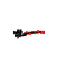 CC(C)CCCC(C)CCCC1CCC(OCCOCCOCCOCCOCCO)CC1